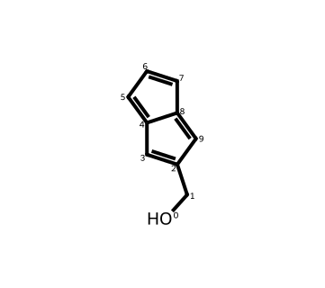 OCC1=CC2=CC=CC2=C1